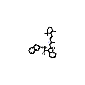 CC1=C(C=C/C(C)=C/c2oc3ccccc3c2C(=O)Nc2ccc3ccccc3c2)C(C)(C)CCC1